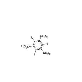 CCOC(=O)c1c(I)c(NC(C)=O)c(I)c(NC(C)=O)c1I